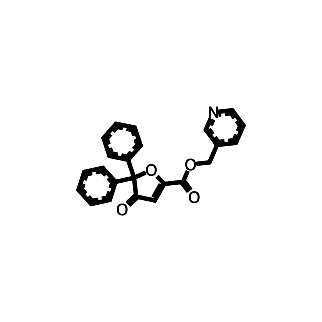 O=C(OCc1cccnc1)C1=CC(=O)C(c2ccccc2)(c2ccccc2)O1